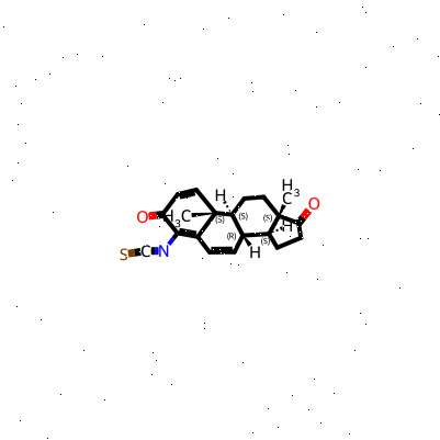 C[C@]12C=CC(=O)C(N=C=S)=C1C=C[C@@H]1[C@@H]2CC[C@]2(C)C(=O)CC[C@@H]12